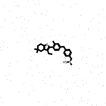 CCc1c(-c2ccc(Cc3ccc(CN(C)S)cc3)cc2C)sc2c1CC(C)(C)CC2